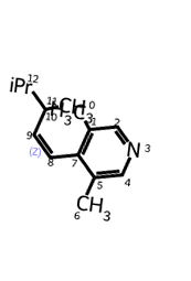 Cc1cncc(C)c1/C=C\C(C)C(C)C